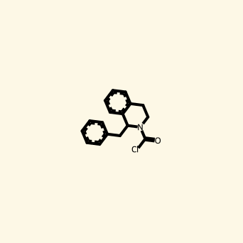 O=C(Cl)N1CCc2ccccc2C1Cc1ccccc1